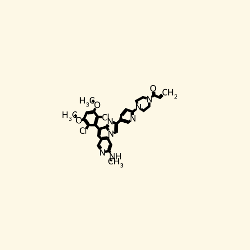 C=CC(=O)N1CCN(c2ccc(-c3cn4c(n3)c(-c3c(Cl)c(OC)cc(OC)c3Cl)cc3cnc(NC)cc34)cn2)CC1